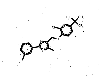 Cc1cccc(-c2nc(COc3ccc(C(O)(C(F)(F)F)C(F)(F)F)cc3Cl)c(C)o2)c1